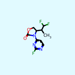 CC(C(F)F)C1COC(=O)N1c1ccnc(F)n1